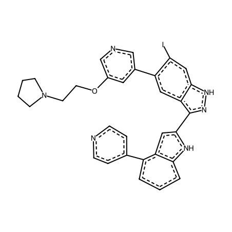 Ic1cc2[nH]nc(-c3cc4c(-c5ccncc5)cccc4[nH]3)c2cc1-c1cncc(OCCN2CCCC2)c1